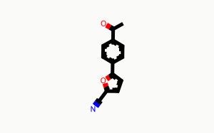 CC(=O)c1ccc(-c2ccc(C#N)o2)cc1